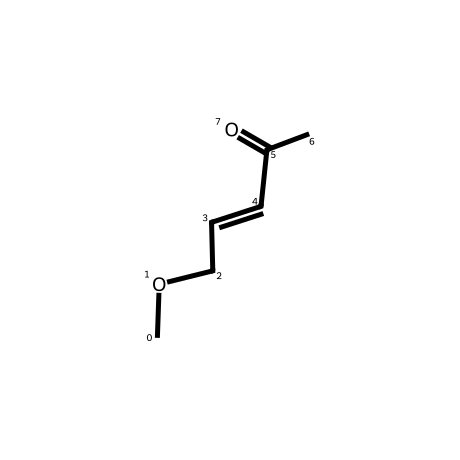 COCC=CC(C)=O